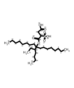 CCCCCCCCC(CCCCCCCC)(OC(=O)C(CC(=O)O)S(=O)(=O)O)C(CC)CCCC